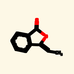 C/C=C1\OC(=O)c2ccccc21